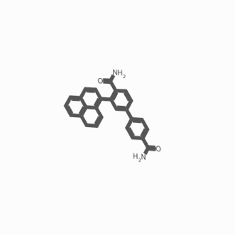 NC(=O)c1ccc(-c2ccc(C(N)=O)c(-c3ccc4cccc5c4c3C=CC5)c2)cc1